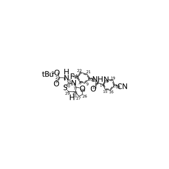 CC(C)(C)OC(=O)NC1=N[C@@]2(c3cc(NC(=O)c4ccc(C#N)cn4)ccc3F)OCC[C@H]2CS1